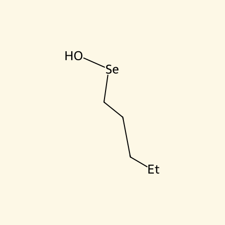 CCCCC[Se]O